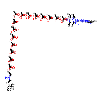 CC(=O)[O-].CC(=O)[O-].CC(=O)[O-].CC(=O)[O-].CC(=O)[O-].CC(=O)[O-].CC(=O)[O-].CC(=O)[O-].CC(=O)[O-].CC(=O)[O-].CC(=O)[O-].CC(=O)[O-].CC(=O)[O-].CC(=O)[O-].CC(=O)[O-].CCNCC.CCNCC.CCNCC.N.N.N.N.N.N.[Gd+3].[Gd+3].[Gd+3].[Gd+3].[Gd+3]